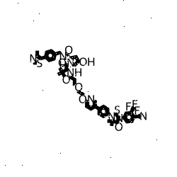 Cc1ncsc1-c1ccc(CNC(=O)[C@@H]2C[C@@H](O)CN2C(=O)[C@@H](NC(=O)CCOCCOc2ccc(-c3ccc(N4C(=S)N(c5ccc(C#N)c(C(F)(F)F)c5)C(=O)C4(C)C)cc3)cn2)C(C)(C)C)cc1